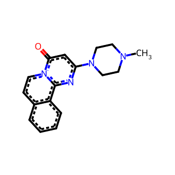 CN1CCN(c2cc(=O)n3ccc4ccccc4c3n2)CC1